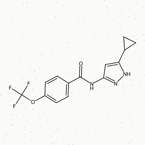 O=C(Nc1cc(C2CC2)[nH]n1)c1ccc(OC(F)(F)F)cc1